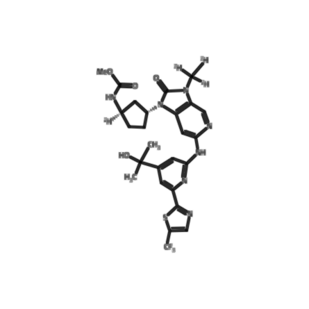 [2H]C([2H])([2H])n1c(=O)n([C@@H]2CC[C@@]([2H])(NC(=O)OC)C2)c2cc(Nc3cc(C(C)(C)O)cc(-c4ncc(C(F)(F)F)s4)n3)ncc21